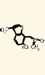 CN(C)Cc1c(O)ccc2c(C(=O)O)csc12